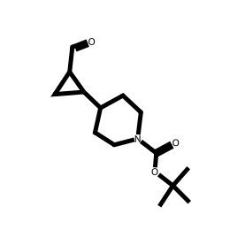 CC(C)(C)OC(=O)N1CCC(C2CC2C=O)CC1